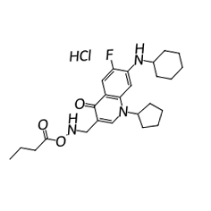 CCCC(=O)ONCc1cn(C2CCCC2)c2cc(NC3CCCCC3)c(F)cc2c1=O.Cl